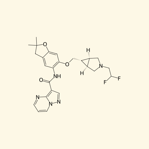 CC1(C)Cc2cc(NC(=O)c3cnn4cccnc34)c(OC[C@@H]3[C@H]4CN(CC(F)F)C[C@@H]34)cc2O1